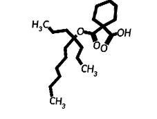 CCCCCCC(CCC)(CCC)OC(=O)C1(C(=O)O)CCCCC1